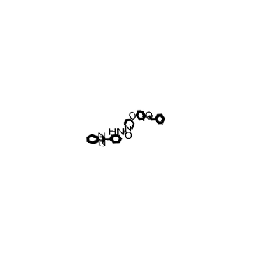 Cn1c(-c2cccc(NC(=O)N3CCC(Oc4ccc(OCc5ccccc5)cc4)CC3)c2)nc2ccccc21